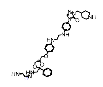 N=C/C=N\NC[C@@]1(c2ccccc2)OC[C@@H](COc2ccc(NCCNc3ccc(-n4cnn(CC5CCNCC5)c4=O)cc3)cc2)O1